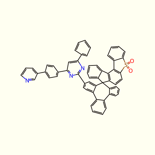 O=S1(=O)c2ccccc2-c2c1ccc1c2-c2ccccc2C12c1ccccc1-c1ccccc1-c1ccc(-c3nc(-c4ccccc4)cc(-c4ccc(-c5cccnc5)cc4)n3)cc12